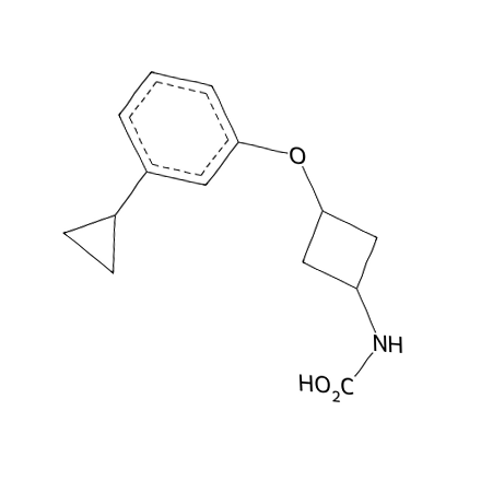 O=C(O)NC1CC(Oc2cccc(C3CC3)c2)C1